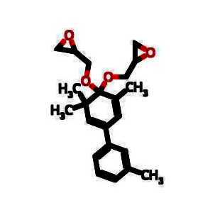 CC1=CC(c2cccc(C)c2)=CC(C)(C)C1(OCC1CO1)OCC1CO1